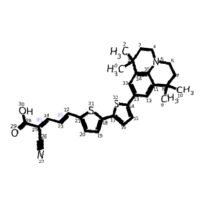 CC1(C)CCN2CCC(C)(C)c3cc(-c4ccc(-c5ccc(/C=C/C=C(\C#N)C(=O)O)s5)s4)cc1c32